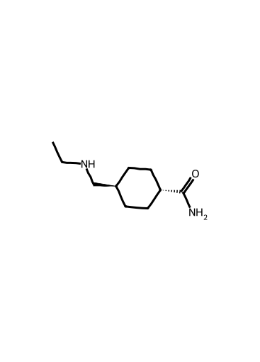 CCNC[C@H]1CC[C@H](C(N)=O)CC1